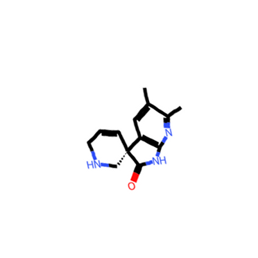 Cc1cc2c(nc1C)NC(=O)[C@@]21C=CCNC1